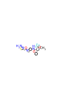 COC1(C(F)(F)F)C=CC(c2ccccc2)=C(C(=O)Nc2ccc3c(c2)CCN3C(=O)Cc2csc(N)n2)C1